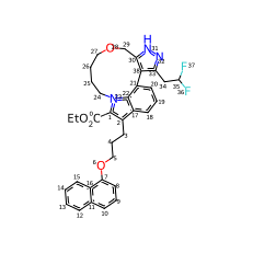 CCOC(=O)c1c(CCCOc2cccc3ccccc23)c2cccc3c2n1CCCCOCc1[nH]nc(CC(F)F)c1-3